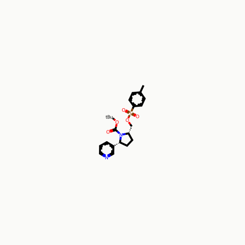 Cc1ccc(S(=O)(=O)OC[C@@H]2CC[C@H](c3cccnc3)N2C(=O)OC(C)(C)C)cc1